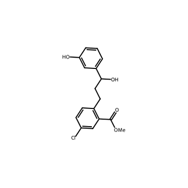 COC(=O)c1cc(Cl)ccc1CCC(O)c1cccc(O)c1